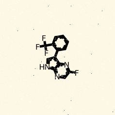 Fc1cnc2[nH]cc(-c3ccccc3C(F)(F)F)c2n1